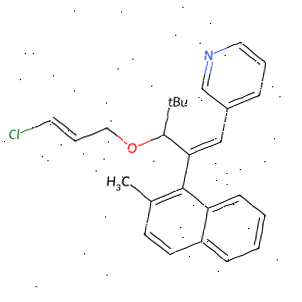 Cc1ccc2ccccc2c1C(=Cc1cccnc1)C(OCC=CCl)C(C)(C)C